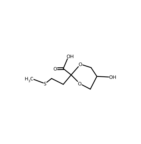 CSCCC1(C(=O)O)OCC(O)CO1